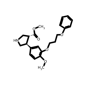 COC(=O)[C@H]1CNC[C@@H]1c1ccc(OC)c(OCCCOc2ccccc2)c1